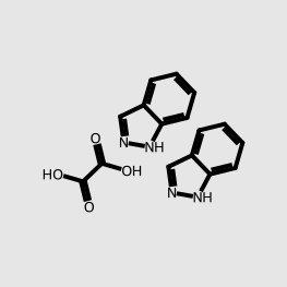 O=C(O)C(=O)O.c1ccc2[nH]ncc2c1.c1ccc2[nH]ncc2c1